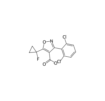 [O]C(=O)c1c(-c2c(Cl)cccc2Cl)noc1C1(F)CC1